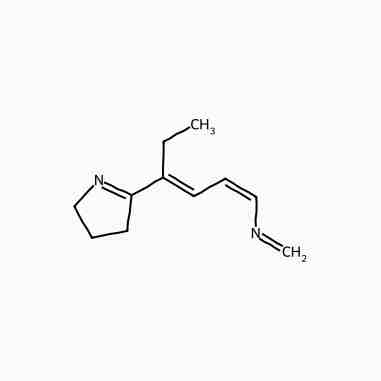 C=N/C=C\C=C(/CC)C1=NCCC1